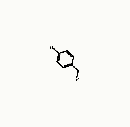 [CH2]Cc1ccc(CC(C)C)cc1